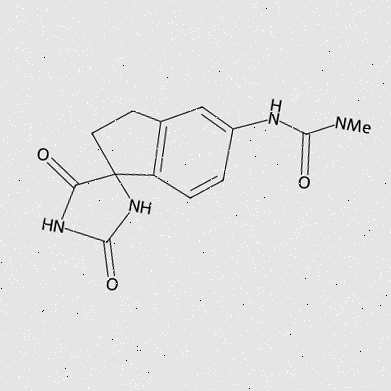 CNC(=O)Nc1ccc2c(c1)CCC21NC(=O)NC1=O